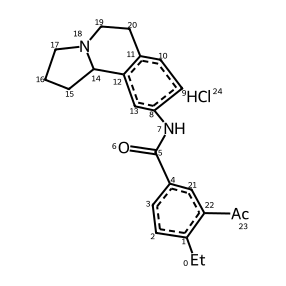 CCc1ccc(C(=O)Nc2ccc3c(c2)C2CCCN2CC3)cc1C(C)=O.Cl